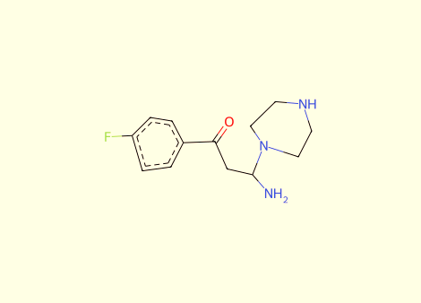 NC(CC(=O)c1ccc(F)cc1)N1CCNCC1